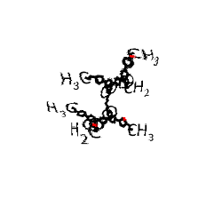 C=CC(=O)OC1(c2ccc(C3(OC(=O)CCCCCCC(=O)OC4(c5ccc(C6(OC(=O)C=C)CCC(C7CCC(CCC)CC7)CC6)cc5)CCC(C5CCC(CCC)CC5)CC4)CCC(C4CCC(CCC)CC4)CC3)cc2)CCC(C2CCC(CCC)CC2)CC1